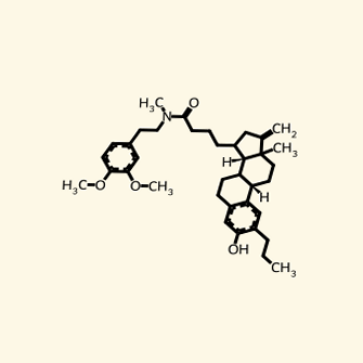 C=C1CC(CCCC(=O)N(C)CCc2ccc(OC)c(OC)c2)[C@H]2C3CCc4cc(O)c(CCC)cc4[C@H]3CCC12C